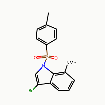 CNc1cccc2c(Br)cn(S(=O)(=O)c3ccc(C)cc3)c12